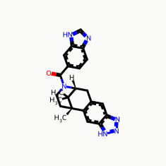 CC1(C)[C@H]2Cc3cc4nn[nH]c4cc3[C@]1(C)CCN2C(=O)c1ccc2nc[nH]c2c1